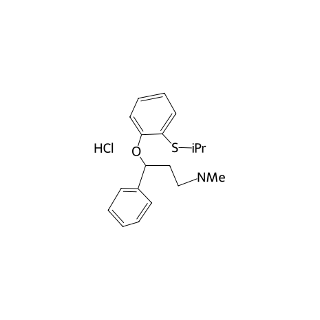 CNCCC(Oc1ccccc1SC(C)C)c1ccccc1.Cl